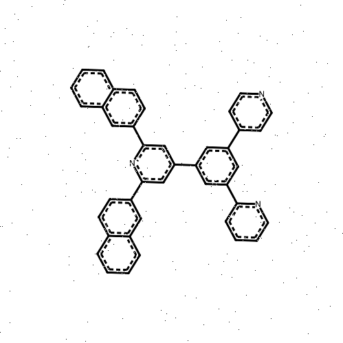 c1ccc(-c2cc(-c3ccncc3)cc(-c3cc(-c4ccc5ccccc5c4)nc(-c4ccc5ccccc5c4)c3)c2)nc1